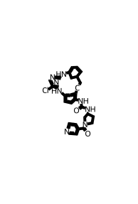 O=C(Nc1ccc2cc1CCC1C=CC=C(C1)Nc1ncc(Cl)c(n1)N2)N[C@H]1CCN(C(=O)c2ccncc2)C1